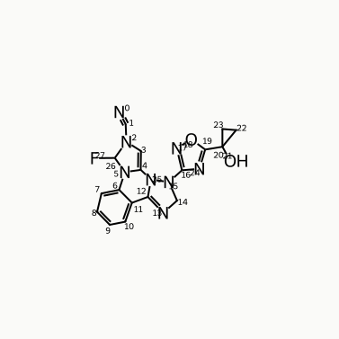 N#CN1C=C2N(c3ccccc3C3=NCN(c4noc(C5(O)CC5)n4)N23)C1F